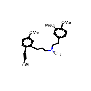 CCCCC#Cc1ccc(OC)cc1CCCN(C)CCc1ccc(OC)c(OC)c1